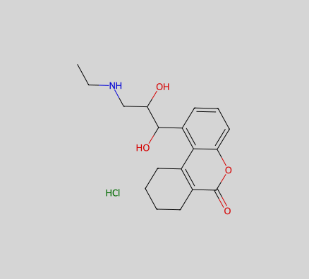 CCNCC(O)C(O)c1cccc2oc(=O)c3c(c12)CCCC3.Cl